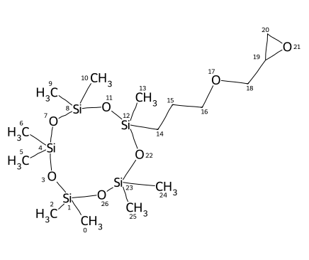 C[Si]1(C)O[Si](C)(C)O[Si](C)(C)O[Si](C)(CCCOCC2CO2)O[Si](C)(C)O1